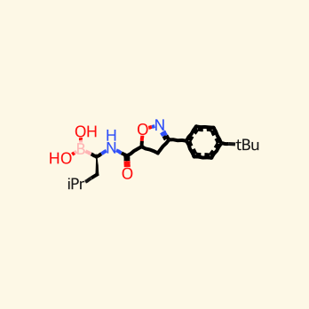 CC(C)C[C@H](NC(=O)C1CC(c2ccc(C(C)(C)C)cc2)=NO1)B(O)O